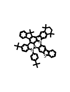 CC(C)(C)c1ccc(N2B3c4cc5sc6ccccc6c5cc4-n4c5cc6c(cc5c5c7c(c(c3c54)-c3cc(C(C)(C)C)ccc32)-c2ccccc2C7(C)C)C(C)(C)CCC6(C)C)cc1